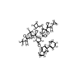 CC(C)(C)NC(=O)N[C@H](C(=O)N1C[C@H](Oc2cc(-c3ccccn3)nc3ccsc23)C[C@H]1C(=O)N[C@@H](CC1CCC1)C(=O)C(=O)NC1CC1)C(C)(C)C